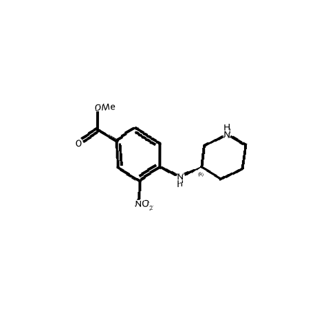 COC(=O)c1ccc(N[C@@H]2CCCNC2)c([N+](=O)[O-])c1